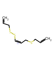 C=CCSC/C=C\SSCC=C